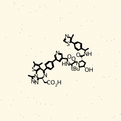 Cc1ncsc1-c1ccc(C(C)NC(=O)[C@@H]2C[C@@H](O)CN2C(=O)C(NC(=O)c2cncc(-c3ccc(C4=N[C@@H](CC(=O)O)c5nnc(C)n5-c5sc(C)c(C)c54)cc3)c2)C(C)(C)C)cc1